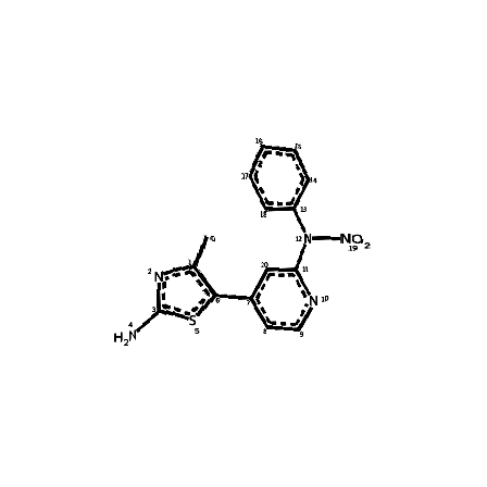 Cc1nc(N)sc1-c1ccnc(N(c2ccccc2)[N+](=O)[O-])c1